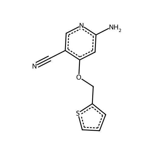 N#Cc1cnc(N)cc1OCc1cccs1